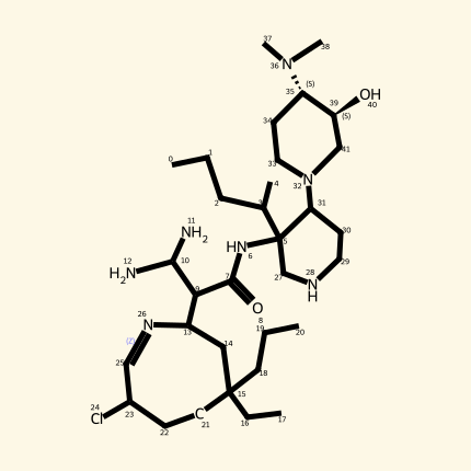 CCCC(C)C1(NC(=O)C(C(N)N)C2CC(CC)(CCC)CCC(Cl)/C=N\2)CNCCC1N1CC[C@H](N(C)C)[C@@H](O)C1